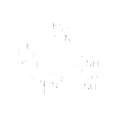 CCS(=O)(=O)N1CCC(c2c[nH]c3c(C(N)=O)cc(-c4ccc(NC(C)C)nc4)cc23)CC1.O=C(O)C(F)(F)F